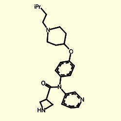 CC(C)CCN1CCC(Oc2ccc(N(C(=O)C3CNC3)c3cccnc3)cc2)CC1